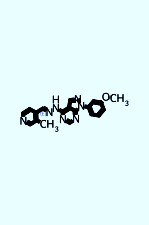 COc1cccc(-n2ncc3c(N/N=C/c4ccncc4C)ncnc32)c1